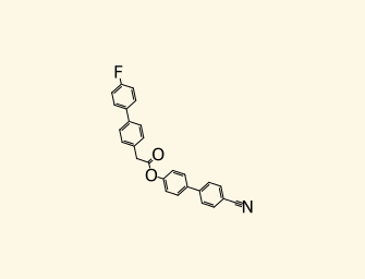 N#Cc1ccc(-c2ccc(OC(=O)Cc3ccc(-c4ccc(F)cc4)cc3)cc2)cc1